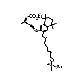 CCOC(=O)C=C(C)C#C[Se]c1cc2c(cc1COCCCCCO[Si](C)(C)C(C)(C)C)C(C)(C)CCC2(C)C